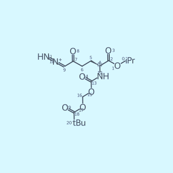 CC(C)OC(=O)[C@H](CCC(=O)C=[N+]=N)NC(=O)OCOC(=O)C(C)(C)C